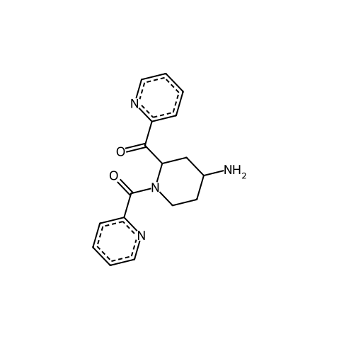 NC1CCN(C(=O)c2ccccn2)C(C(=O)c2ccccn2)C1